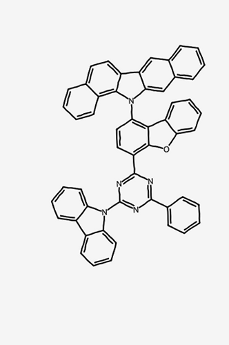 c1ccc(-c2nc(-c3ccc(-n4c5cc6ccccc6cc5c5ccc6ccccc6c54)c4c3oc3ccccc34)nc(-n3c4ccccc4c4ccccc43)n2)cc1